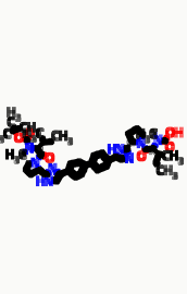 CCC(C)[C@@H](C(=O)N1CCC[C@H]1c1ncc(-c2ccc(-c3ccc(-c4c[nH]c(C5CCCN5C(=O)[C@H](C(C)CC)N(C)C(=O)OC(C)(C)C)n4)cc3)cc2)[nH]1)N(C)C(=O)O